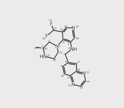 C[C@H]1CN(c2c(NCc3ccc4nccnc4c3)cncc2C(F)F)CCN1